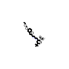 CCOCOc1ccc2oc(/C=C/C=C/c3cc(C(C)(C)C)[c]nc3[N+](=O)[O-])cc2c1